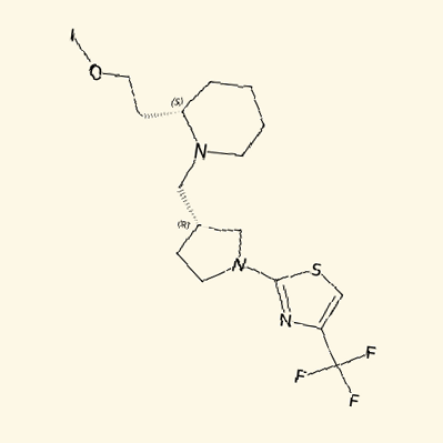 FC(F)(F)c1csc(N2CC[C@H](CN3CCCC[C@H]3CCOI)C2)n1